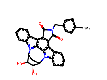 COc1ccc(CN2C(=O)c3c(c4c5ccccc5n5c4c4c3c3ccccc3n4C3CC5[C@H](O)[C@@H]3O)C2=O)cc1